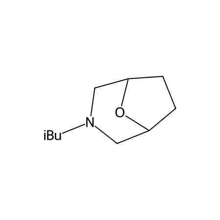 CCC(C)N1CC2CCC(C1)O2